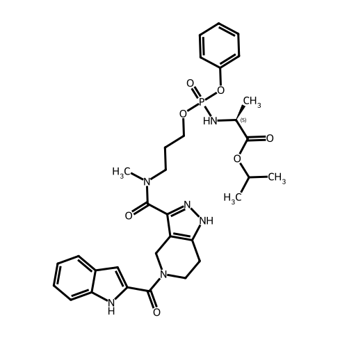 CC(C)OC(=O)[C@H](C)NP(=O)(OCCCN(C)C(=O)c1n[nH]c2c1CN(C(=O)c1cc3ccccc3[nH]1)CC2)Oc1ccccc1